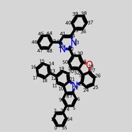 c1ccc(-c2ccc3c(c2)c2cc(-c4ccccc4)ccc2n3-c2cccc3oc4cc(-c5nc(-c6ccccc6)cc(-c6ccccc6)n5)ccc4c23)cc1